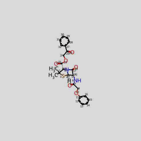 CC1(C)S[C@@H]2[C@H](NC(=O)COc3ccccc3)C(=O)N2[C@H]1C(=O)OCC(=O)c1ccccc1